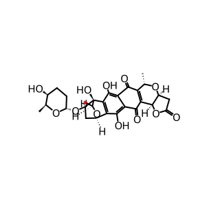 C[C@@H]1O[C@H]2CC(=O)O[C@H]2C2=C1C(=O)c1c(O)c3c(c(O)c1C2=O)[C@H]1C[C@@H](O[C@H]2CC[C@H](O)[C@H](C)O2)[C@@]3(O)[C@H](C)O1